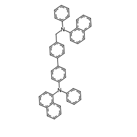 c1ccc(N(Cc2ccc(-c3ccc(N(c4ccccc4)c4cccc5ccccc45)cc3)cc2)c2cccc3ccccc23)cc1